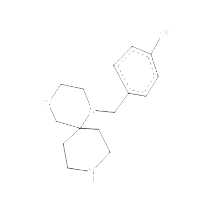 Oc1ccc(CN2CCNCC23CCNCC3)cc1